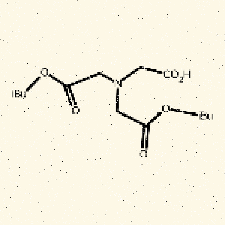 CCC(C)OC(=O)CN(CC(=O)O)CC(=O)OC(C)CC